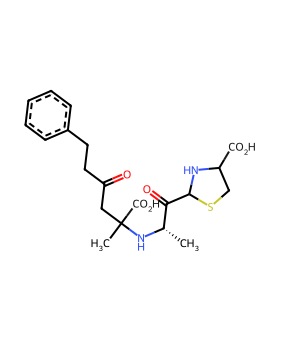 C[C@H](NC(C)(CC(=O)CCc1ccccc1)C(=O)O)C(=O)C1NC(C(=O)O)CS1